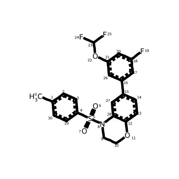 Cc1ccc(S(=O)(=O)N2CCOc3ccc(-c4cc(F)cc(OC(F)F)c4)cc32)cc1